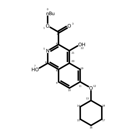 CCCCOC(=O)c1nc(O)c2ccc(OC3CCCCC3)cc2c1O